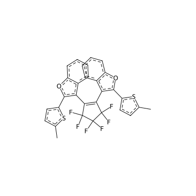 Cc1ccc(-c2oc3ccccc3c2C2=C(c3c(-c4ccc(C)s4)oc4ccccc34)C(F)(F)C(F)(F)C2(F)F)s1